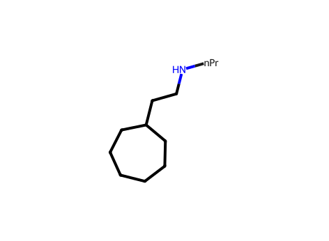 CCCNCCC1CCCCCC1